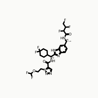 C[C@@H](NC(=O)C(F)C(F)CF)c1ccc2nc([C@@H](NC(=O)c3cnnn3CCOC(F)F)C3CCC(F)(F)CC3)[nH]c2c1